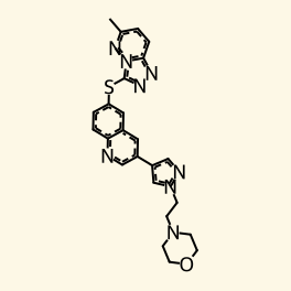 Cc1ccc2nnc(Sc3ccc4ncc(-c5cnn(CCN6CCOCC6)c5)cc4c3)n2n1